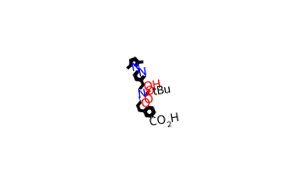 Cc1ccc(C)n1-c1ccc([C@H](O)CN(C[C@H]2CCc3cc(C(=O)O)ccc3O2)C(=O)OC(C)(C)C)cn1